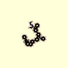 C=C/C(=C\C=C/C)n1c2ccccc2c2cc(-c3ccc4c(c3)c3cc(-c5ccc6c(ccc7ccc8oc(-c9ccccc9)nc8c76)c5)ccc3n4-c3ccccc3)ccc21